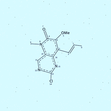 C/C=C/c1c(OC)c(=O)n(C)c2cnc(Cl)nc12